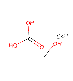 CO.O=C(O)O.[CsH]